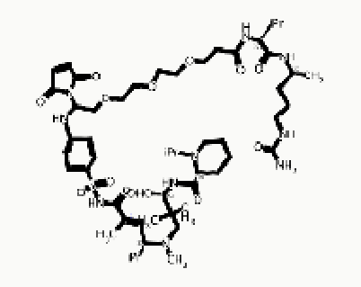 C/C(=C\[C@H](C(C)C)N(C)CC(C)(C)[C@@H](C=O)NC(=O)[C@H]1CCCCN1C(C)C)C(=O)NS(=O)(=O)c1ccc(NC(COCCOCCOCCC(=O)N[C@H](C(=O)N[C@@H](C)CCCNC(N)=O)C(C)C)N2C(=O)C=CC2=O)cc1